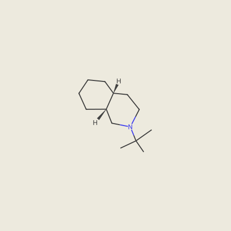 CC(C)(C)N1CC[C@H]2CCCC[C@H]2C1